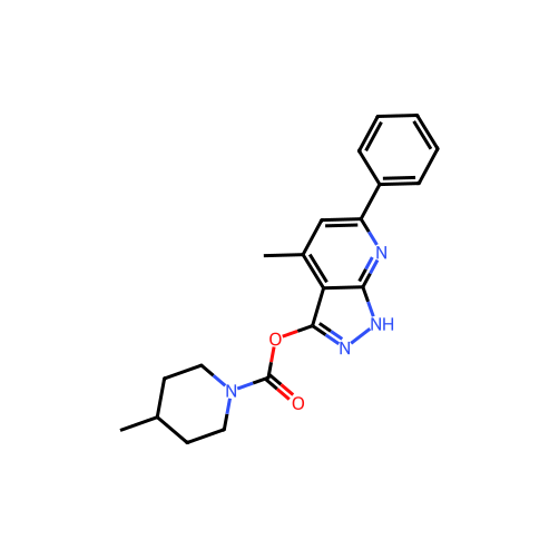 Cc1cc(-c2ccccc2)nc2[nH]nc(OC(=O)N3CCC(C)CC3)c12